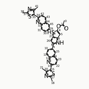 CC(=O)OC1=Cc2[nH]c(-c3ccc4nc(-c5sc(C)nc5C)ccc4c3)cc2[SH]1c1ccc2nc(-c3sc(C)nc3C)ccc2c1